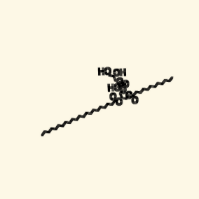 CCCCCCCCCCCCCCCCCCCCCC(=O)O[C@H](COC(=O)CCCCCCCCCCC)COP(=O)(O)OC[C@@H](O)CO